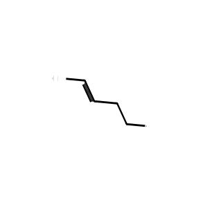 O=CC=CCCO